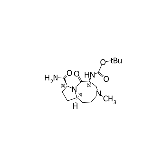 CN1CC[C@H]2CC[C@@H](C(N)=O)N2C(=O)[C@@H](NC(=O)OC(C)(C)C)C1